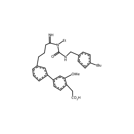 CCN(C(=N)CCCc1cccc(-c2ccc(CC(=O)O)c(OC)c2)c1)C(=O)NCc1ccc(C(C)(C)C)cc1